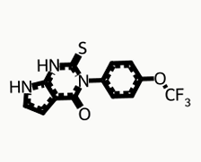 O=c1c2cc[nH]c2[nH]c(=S)n1-c1ccc(OC(F)(F)F)cc1